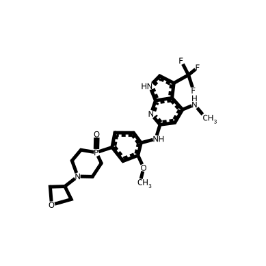 CNc1cc(Nc2ccc(P3(=O)CCN(C4COC4)CC3)cc2OC)nc2[nH]cc(C(F)(F)F)c12